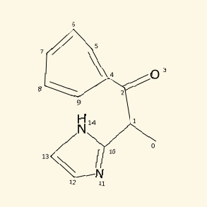 CC(C(=O)c1ccccc1)c1ncc[nH]1